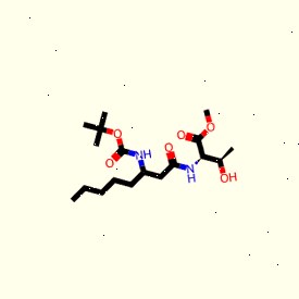 CCCCCC(CC(=O)N[C@H](C(=O)OC)[C@@H](C)O)NC(=O)OC(C)(C)C